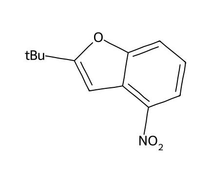 CC(C)(C)c1cc2c([N+](=O)[O-])cccc2o1